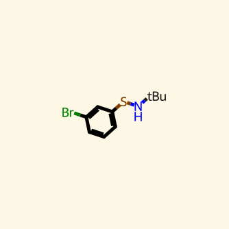 CC(C)(C)NSc1cccc(Br)c1